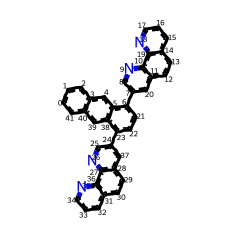 c1ccc2cc3c(-c4cnc5c(ccc6cccnc65)c4)ccc(-c4cnc5c(ccc6cccnc65)c4)c3cc2c1